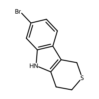 Brc1ccc2c3c([nH]c2c1)CCSC3